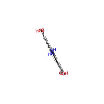 O=C(O)CCCCCCCCCCCCCCCCCNCCNCCCCCCCCCCCCCCCCCC(=O)O